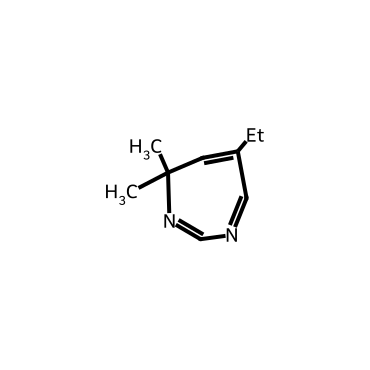 CCC1=CC(C)(C)N=CN=C1